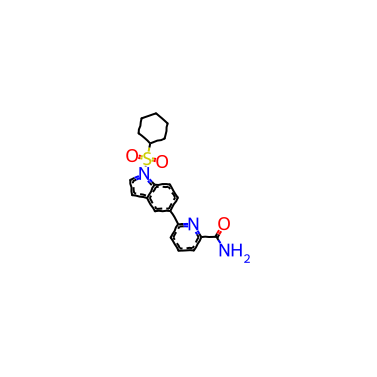 NC(=O)c1cccc(-c2ccc3c(ccn3S(=O)(=O)C3CCCCC3)c2)n1